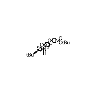 CC(C)(C)C#Cc1cc(N[C@H]2CC[C@H](OC3CCN(C(=O)OC(C)(C)C)CC3)CC2)c(C(=O)O)s1